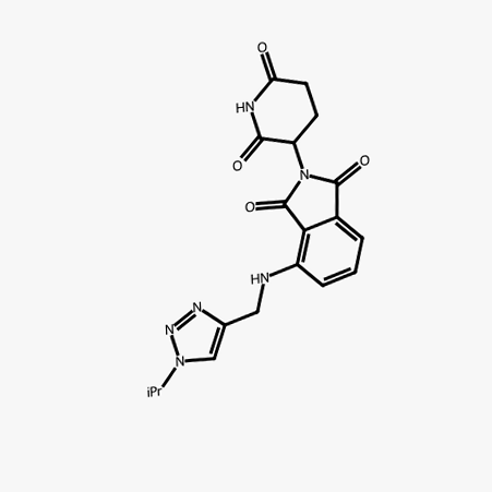 CC(C)n1cc(CNc2cccc3c2C(=O)N(C2CCC(=O)NC2=O)C3=O)nn1